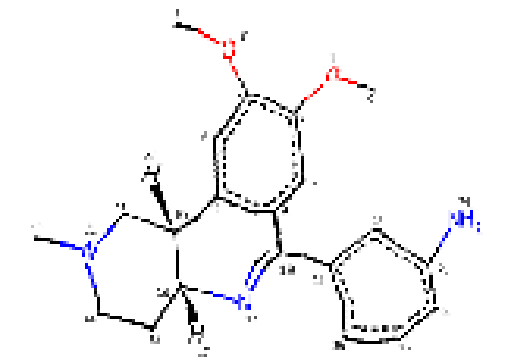 COc1cc2c(cc1OC)[C@H]1CN(C)CC[C@H]1N=C2c1cccc(N)c1